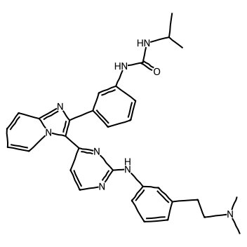 CC(C)NC(=O)Nc1cccc(-c2nc3ccccn3c2-c2ccnc(Nc3cccc(CCN(C)C)c3)n2)c1